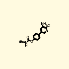 CC(C)(C)NC(=O)Oc1ccc(-c2cnc(Cl)c(N)c2)cc1